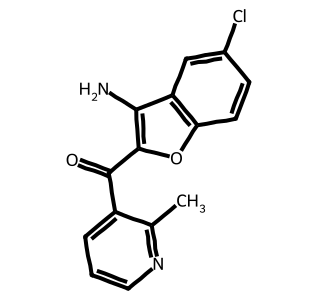 Cc1ncccc1C(=O)c1oc2ccc(Cl)cc2c1N